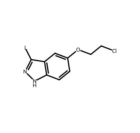 ClCCOc1ccc2[nH]nc(I)c2c1